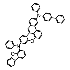 c1ccc(-c2ccc(N(c3ccccc3)c3ccc4cc5c6c(cccc6c4c3)Oc3cc(N(c4ccccc4)c4cccc6c4oc4ccccc46)ccc3-5)cc2)cc1